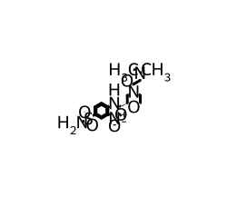 CN(C)CC(=O)N1CCO[C@H](CNc2ccc(S(N)(=O)=O)cc2[N+](=O)[O-])C1